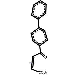 O=C(O)/C=C\C(=O)c1ccc(-c2ccccc2)cc1